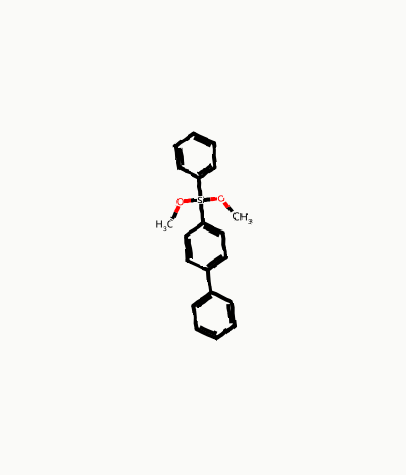 CO[Si](OC)(c1ccccc1)c1ccc(-c2ccccc2)cc1